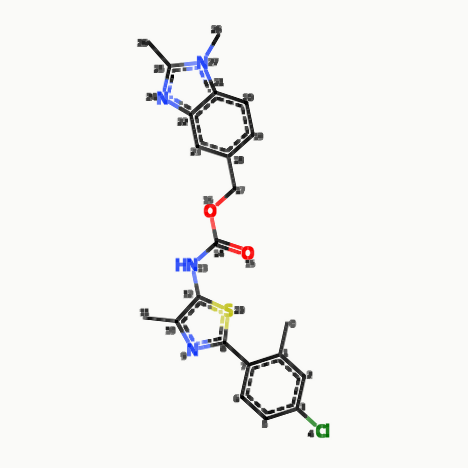 Cc1cc(Cl)ccc1-c1nc(C)c(NC(=O)OCc2ccc3c(c2)nc(C)n3C)s1